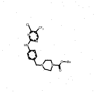 CCCCOC(=O)N1CCN(Cc2ccc(Nc3ncc(C(F)(F)F)c(Cl)n3)cc2)CC1